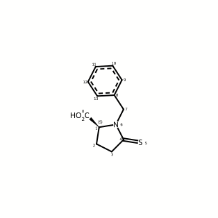 O=C(O)[C@@H]1CCC(=S)N1Cc1ccccc1